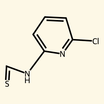 S=CNc1cccc(Cl)n1